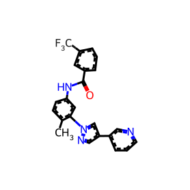 Cc1ccc(NC(=O)c2cccc(C(F)(F)F)c2)cc1-n1cc(-c2cccnc2)cn1